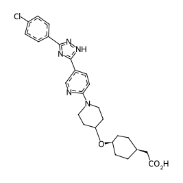 O=C(O)C[C@H]1CC[C@@H](OC2CCN(c3ccc(-c4nc(-c5ccc(Cl)cc5)n[nH]4)cn3)CC2)CC1